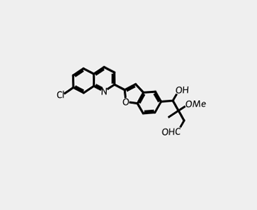 COC(C)(CC=O)C(O)c1ccc2oc(-c3ccc4ccc(Cl)cc4n3)cc2c1